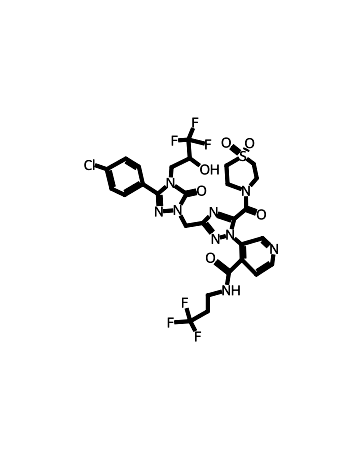 O=C(NCCC(F)(F)F)c1ccncc1-n1nc(Cn2nc(-c3ccc(Cl)cc3)n(CC(O)C(F)(F)F)c2=O)nc1C(=O)N1CCS(=O)(=O)CC1